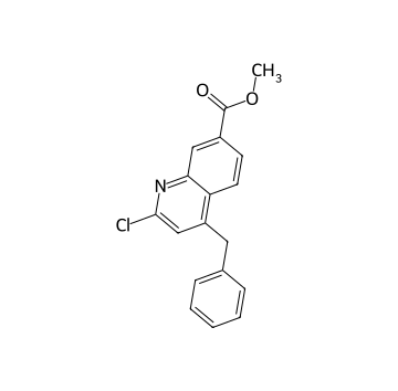 COC(=O)c1ccc2c(Cc3ccccc3)cc(Cl)nc2c1